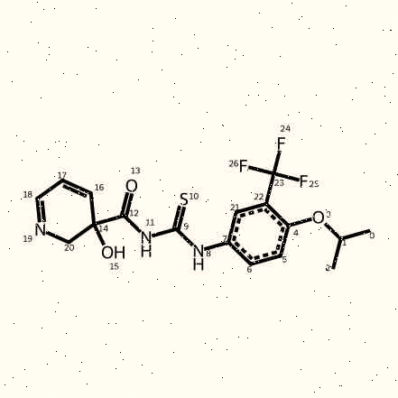 CC(C)Oc1ccc(NC(=S)NC(=O)C2(O)C=CC=NC2)cc1C(F)(F)F